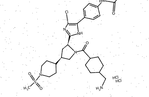 CS(=O)(=O)N1CCC([C@H]2C[C@@H](c3nc(Cl)c(-c4ccc(NC(=O)O)cc4)[nH]3)N(C(=O)C3CCC(CN)CC3)C2)CC1.Cl.Cl